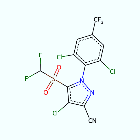 N#Cc1nn(-c2c(Cl)cc(C(F)(F)F)cc2Cl)c(S(=O)(=O)C(F)F)c1Cl